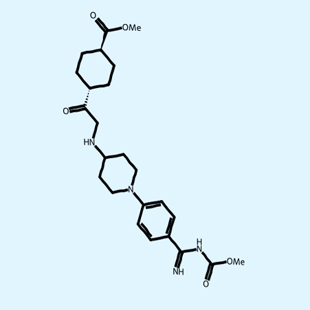 COC(=O)NC(=N)c1ccc(N2CCC(NCC(=O)[C@H]3CC[C@H](C(=O)OC)CC3)CC2)cc1